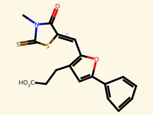 CN1C(=O)/C(=C/c2oc(-c3ccccc3)cc2CCC(=O)O)SC1=S